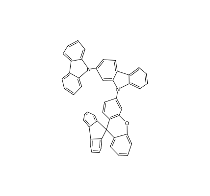 c1ccc2c(c1)Oc1cc(-n3c4ccccc4c4ccc(-n5c6ccccc6c6ccccc65)cc43)ccc1C21c2ccccc2-c2ccccc21